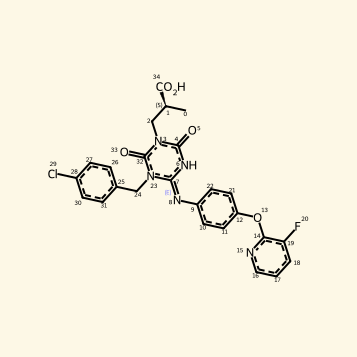 C[C@@H](Cn1c(=O)[nH]/c(=N\c2ccc(Oc3ncccc3F)cc2)n(Cc2ccc(Cl)cc2)c1=O)C(=O)O